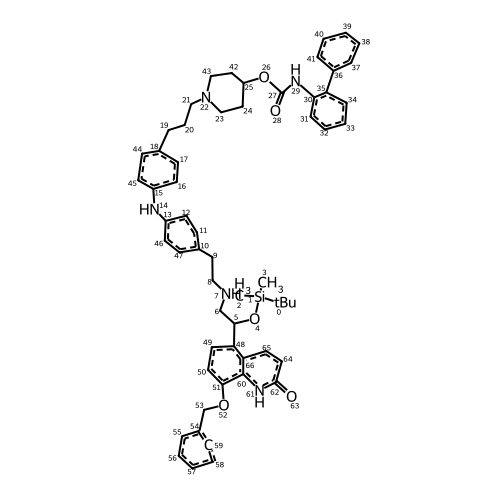 CC(C)(C)[Si](C)(C)OC(CNCCc1ccc(Nc2ccc(CCCN3CCC(OC(=O)Nc4ccccc4-c4ccccc4)CC3)cc2)cc1)c1ccc(OCc2ccccc2)c2[nH]c(=O)ccc12